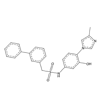 Cc1cn(-c2ccc(NS(=O)(=O)Cc3cccc(-c4ccccc4)c3)cc2O)cn1